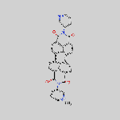 C[n+]1cccc(N2C(=O)c3ccc4c5ccc6c7c(ccc(c8ccc(c3c48)C2=O)c75)C(=O)N(c2cccnc2)C6=O)c1